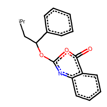 CC(C)CC(Oc1nc2ccccc2c(=O)o1)c1ccccc1